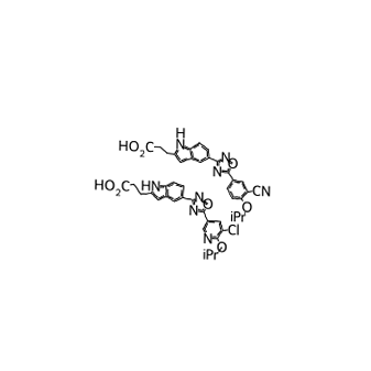 CC(C)Oc1ccc(-c2nc(-c3ccc4[nH]c(CCC(=O)O)cc4c3)no2)cc1C#N.CC(C)Oc1ncc(-c2nc(-c3ccc4[nH]c(CCC(=O)O)cc4c3)no2)cc1Cl